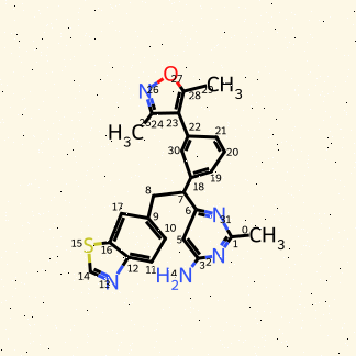 Cc1nc(N)cc(C(Cc2ccc3ncsc3c2)c2cccc(-c3c(C)noc3C)c2)n1